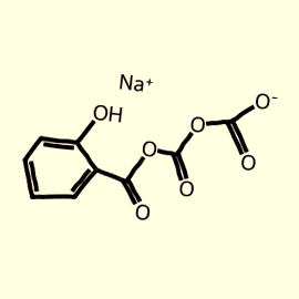 O=C([O-])OC(=O)OC(=O)c1ccccc1O.[Na+]